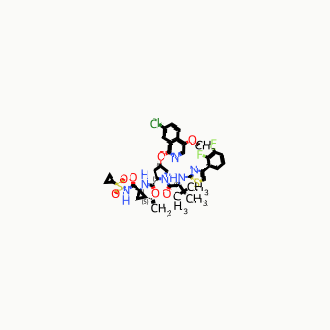 C=C[C@@H]1C[C@]1(NC(=O)[C@@H]1C[C@@H](Oc2ncc(OC)c3ccc(Cl)cc23)CN1C(=O)[C@@H](Nc1nc(-c2cccc(F)c2F)cs1)C(C)(C)C)C(=O)NS(=O)(=O)C1CC1